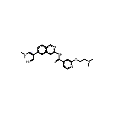 CN/C=C(\C=N)c1ccc2cnc(NC(=O)c3ccnc(OCCN(C)C)c3)cc2c1